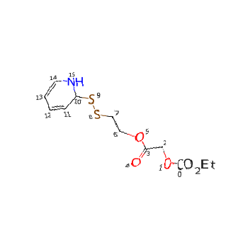 CCOC(=O)OCC(=O)OCCSSC1C=CC=CN1